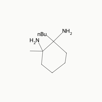 CCCCC1(N)CCCCC1(C)N